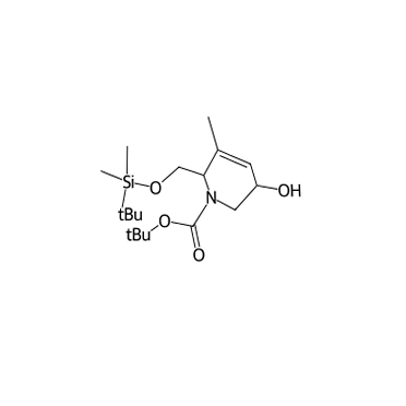 CC1=CC(O)CN(C(=O)OC(C)(C)C)C1CO[Si](C)(C)C(C)(C)C